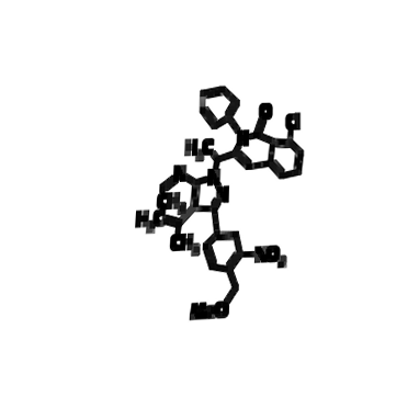 C=C(C)c1c(-c2ccc(COC)c([N+](=O)[O-])c2)nn(C(C)c2cc3cccc(Cl)c3c(=O)n2-c2ccccc2)c1/N=C\C